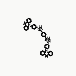 CC1(C)c2ccccc2N(c2ccc(-n3cc(-c4ccc(-c5cn(-c6ccc(N7c8ccccc8C(C)(C)c8ccccc87)cc6)nn5)cc4)nn3)cc2)c2ccccc21